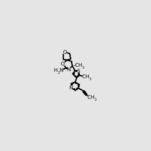 CC#Cc1cncc(-c2cc([C@]3(C)CC4(CCOCC4)OC(N)=N3)sc2C)c1